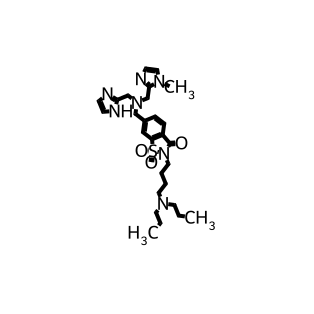 CCCN(CCC)CCCCN1C(=O)c2ccc(CN(Cc3ncc[nH]3)Cc3nccn3C)cc2S1(=O)=O